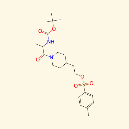 Cc1ccc(S(=O)(=O)OCCC2CCN(C(=O)C(C)NC(=O)OC(C)(C)C)CC2)cc1